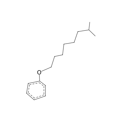 CC(C)CCCCCCOc1ccccc1